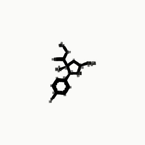 CCOC(=O)[C@@H]1C[C@](C)(C(=O)OC(C)(C)C)[C@H](c2ccc(F)cc2)N1